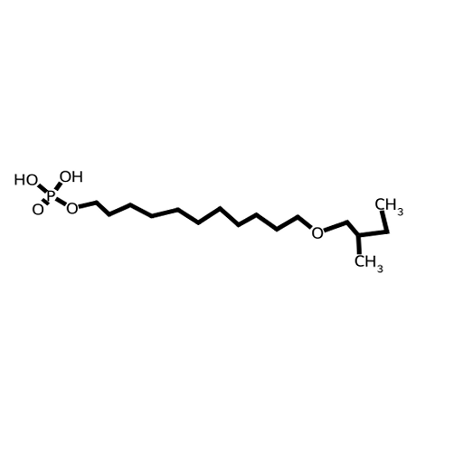 CCC(C)COCCCCCCCCCCCOP(=O)(O)O